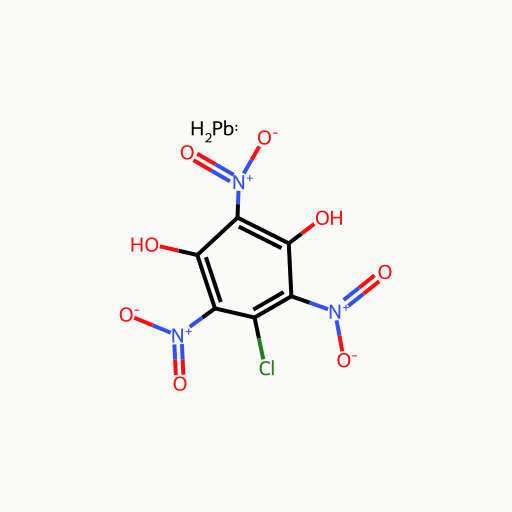 O=[N+]([O-])c1c(O)c([N+](=O)[O-])c(Cl)c([N+](=O)[O-])c1O.[PbH2]